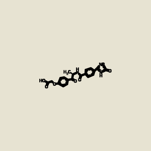 C[C@H](NC(=O)c1ccc(-c2noc(=O)[nH]2)cc1)C(=O)c1ccc(OCC(=O)O)cc1